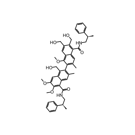 COc1cc2c(CO)c(-c3c(C)cc4c(C(=O)NC[C@H](C)c5ccccc5)c(CO)c(CO)cc4c3OC)c(C)cc2c(C(=O)NC[C@@H](C)c2ccccc2)c1OC